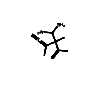 C=C=C(C)C(C)(C(=C)C)C(N)CCC